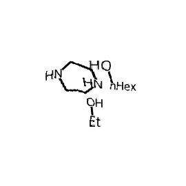 C1CNCCN1.CCCCCCO.CCO